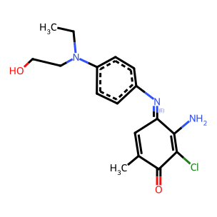 CCN(CCO)c1ccc(/N=C2\C=C(C)C(=O)C(Cl)=C2N)cc1